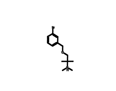 C[SiH](C)C(C)(C)COCc1cccc(Br)c1